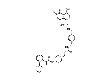 O=C(CCN1CCC(OC(=O)Nc2ccccc2-c2ccccc2)CC1)NCc1ccc(CNC[C@H](O)c2ccc(O)c3[nH]c(=O)ccc23)cc1